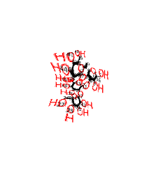 CC(C)[C@@H]1O[C@H](CO)[C@@H](O)[C@H](O[C@@H]2O[C@H](CO)[C@@H](O)[C@H](O)[C@H]2O[C@@H]2O[C@H](CO)[C@@H](O)[C@H](O)[C@H]2O)[C@H]1O[C@@H]1O[C@H](CO)[C@@H](O)[C@H](O)[C@H]1O